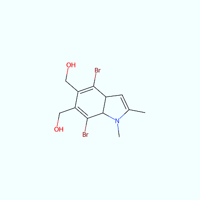 CC1=CC2C(Br)=C(CO)C(CO)=C(Br)C2N1C